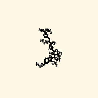 CCc1ccc2oc(C(O)C(NC(=O)CCNC(=O)C(N)CC3=CCN(C(=N)N)C3)C(=O)O)c(C)c2c1